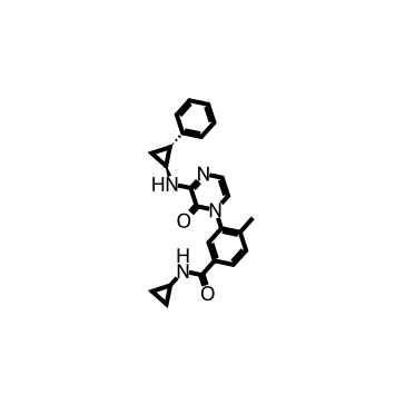 Cc1ccc(C(=O)NC2CC2)cc1-n1ccnc(N[C@H]2C[C@@H]2c2ccccc2)c1=O